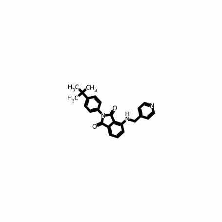 CC(C)(C)c1ccc(N2C(=O)c3cccc(NCc4ccncc4)c3C2=O)cc1